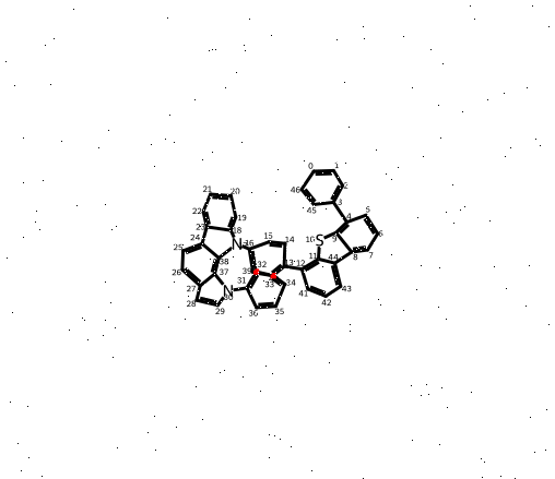 c1ccc(-c2cccc3c2sc2c(-c4ccc(-n5c6ccccc6c6ccc7ccn(-c8ccccc8)c7c65)cc4)cccc23)cc1